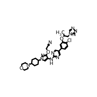 CC(Cn1cnnn1)Oc1cc(-c2cnc(Nc3cn(C4CCC(N5CCOCC5)CC4)nc3OCC#N)nc2)ccc1Cl